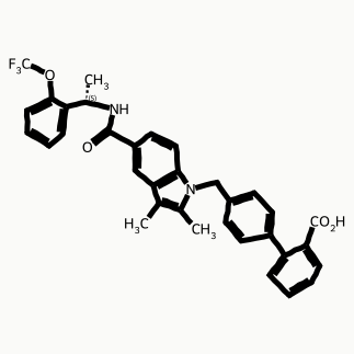 Cc1c(C)n(Cc2ccc(-c3ccccc3C(=O)O)cc2)c2ccc(C(=O)N[C@@H](C)c3ccccc3OC(F)(F)F)cc12